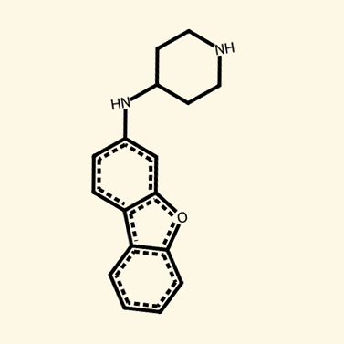 c1ccc2c(c1)oc1cc(NC3CCNCC3)ccc12